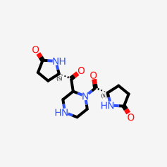 O=C1CC[C@@H](C(=O)C2CNCCN2C(=O)[C@@H]2CCC(=O)N2)N1